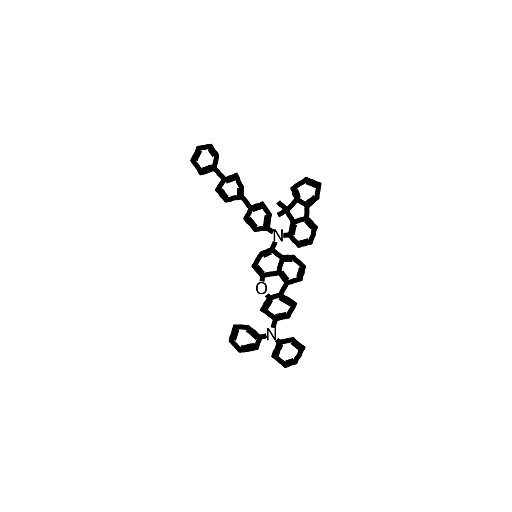 CC1(C)c2ccccc2-c2cccc(N(c3ccc(-c4ccc(-c5ccccc5)cc4)cc3)c3ccc4c5c(cccc35)-c3ccc(N(c5ccccc5)c5ccccc5)cc3O4)c21